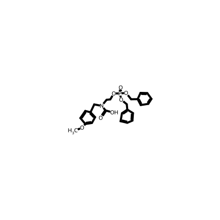 COc1ccc(CN(CCOP(=O)(OCc2ccccc2)OCc2ccccc2)C(=O)O)cc1